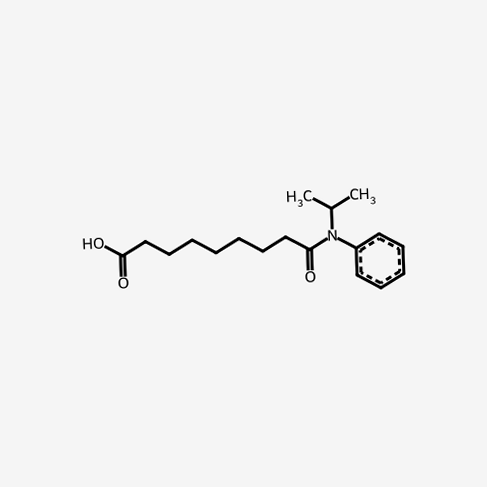 CC(C)N(C(=O)CCCCCCCC(=O)O)c1ccccc1